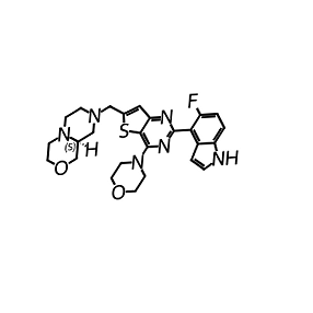 Fc1ccc2[nH]ccc2c1-c1nc(N2CCOCC2)c2sc(CN3CCN4CCOC[C@@H]4C3)cc2n1